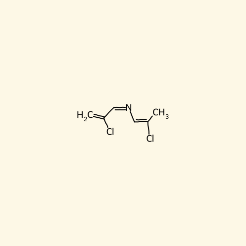 C=C(Cl)/C=N\C=C(/C)Cl